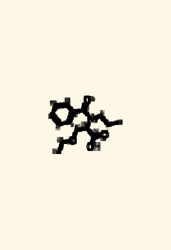 CCCN(C(=O)c1ccccc1)C(COCC)C(=O)O